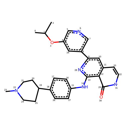 CC(C)Oc1cncc(-c2cc3c(c(Nc4ccc(C5CCN(C)CC5)cc4)n2)C(=O)[N]C=C3)c1